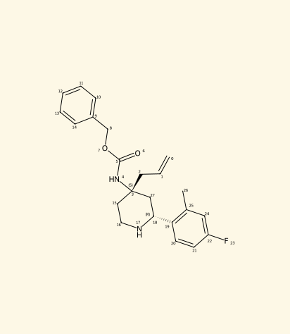 C=CC[C@]1(NC(=O)OCc2ccccc2)CCN[C@@H](c2ccc(F)cc2C)C1